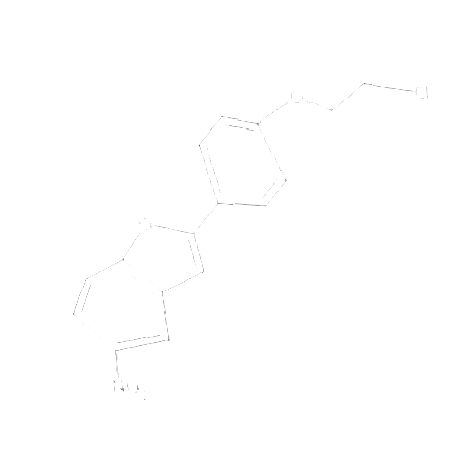 O=[N+]([O-])c1ccc2oc(-c3ccc(OCCCl)cc3)cc2c1